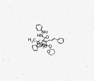 CC(C)C[C@](C(=O)NNc1ccccc1)([C@@H](CC=Cc1ccccc1)C(=O)OC1CCCCO1)S(=O)(=O)Cc1ccccc1